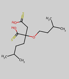 CC(C)CCOC(CCC(C)C)(CC(O)=S)C(O)=S